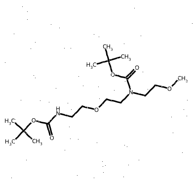 COCCN(CCOCCNC(=O)OC(C)(C)C)C(=O)OC(C)(C)C